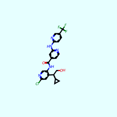 O=C(Nc1cnc(Cl)cc1C(CO)C1CC1)c1ccnc(Nc2ccc(C(F)(F)F)cn2)c1